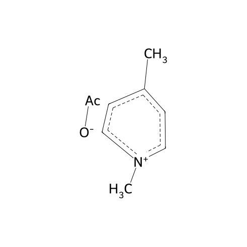 CC(=O)[O-].Cc1cc[n+](C)cc1